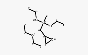 CCOCC.CCO[Si](C)(CC1CO1)OCC